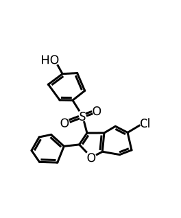 O=S(=O)(c1ccc(O)cc1)c1c(-c2ccccc2)oc2ccc(Cl)cc12